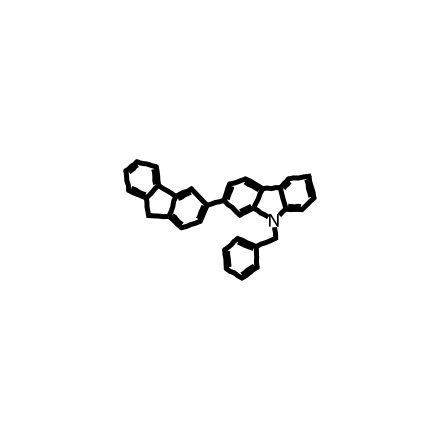 c1ccc(Cn2c3ccccc3c3ccc(-c4ccc5c(c4)-c4ccccc4C5)cc32)cc1